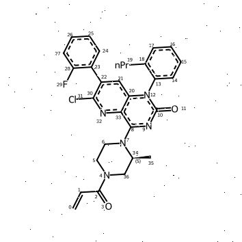 C=CC(=O)N1CCN(c2nc(=O)n(-c3ccccc3CCC)c3cc(-c4ccccc4F)c(Cl)nc23)[C@@H](C)C1